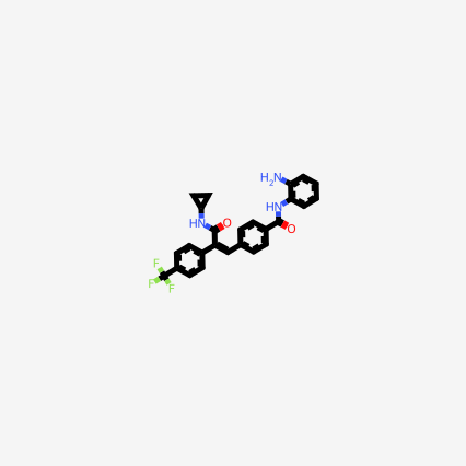 Nc1ccccc1NC(=O)c1ccc(C=C(C(=O)NC2CC2)c2ccc(C(F)(F)F)cc2)cc1